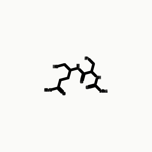 CCCCCCCCC(=O)NC(CC(C)C)C(=O)NC(CO)CCC(=O)NC